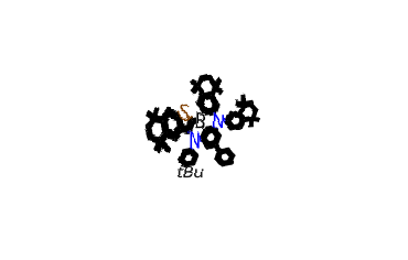 CC(C)(C)c1ccc(N2c3cc(-c4ccccc4)cc4c3B(c3cc5c(cc3N4c3ccc4c(c3)C(C)(C)CCC4(C)C)C(C)(C)CCC5(C)C)c3sc4cc5c(cc4c32)C(C)(C)CCC5(C)C)cc1